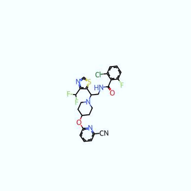 N#Cc1cccc(OC2CCN(C(CNC(=O)c3c(F)cccc3Cl)c3scnc3C(F)F)CC2)n1